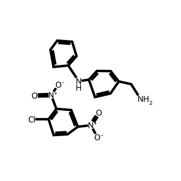 NCc1ccc(Nc2ccccc2)cc1.O=[N+]([O-])c1ccc(Cl)c([N+](=O)[O-])c1